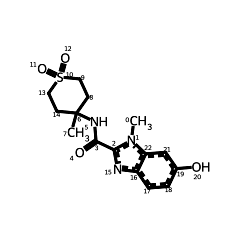 Cn1c(C(=O)NC2(C)CCS(=O)(=O)CC2)nc2ccc(O)cc21